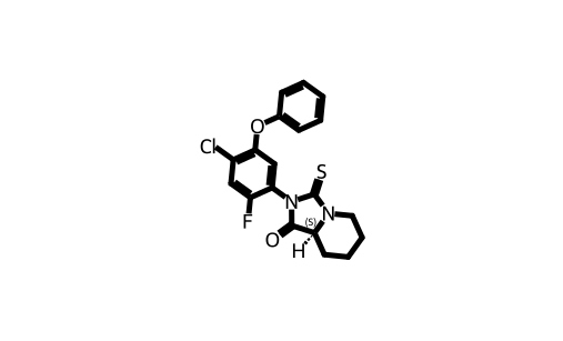 O=C1[C@@H]2CCCCN2C(=S)N1c1cc(Oc2ccccc2)c(Cl)cc1F